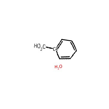 O.O=[C](O)[Ge]1=[CH]C=CC=[CH]1